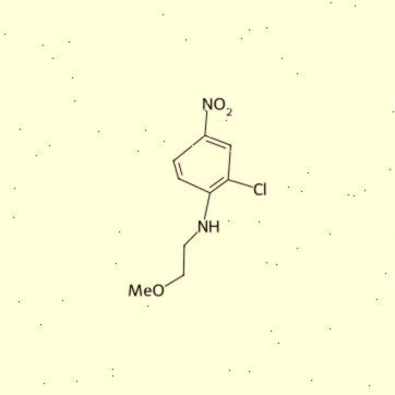 COCCNc1ccc([N+](=O)[O-])cc1Cl